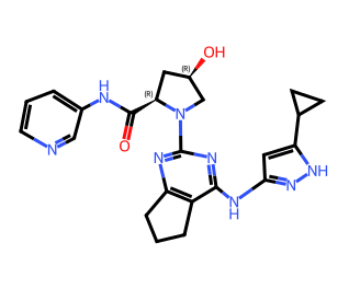 O=C(Nc1cccnc1)[C@H]1C[C@@H](O)CN1c1nc2c(c(Nc3cc(C4CC4)[nH]n3)n1)CCC2